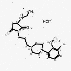 CCNC1CC(=O)N(CCCN2CCN(c3cccc(F)c3OC)CC2)C1=O.Cl